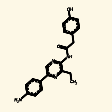 CCc1nc(-c2ccc(N)cc2)cnc1NC(=O)Cc1ccc(O)cc1